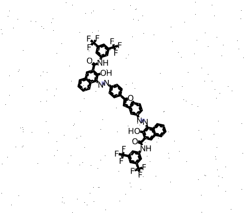 O=C(Nc1cc(C(F)(F)F)cc(C(F)(F)F)c1)c1cc2ccccc2c(/N=N/c2ccc(-c3cc4cc(/N=N/c5c(O)c(C(=O)Nc6cc(C(F)(F)F)cc(C(F)(F)F)c6)cc6ccccc56)ccc4o3)cc2)c1O